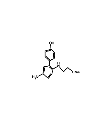 COCCNc1ccc(N)cc1-c1ccc(O)cc1